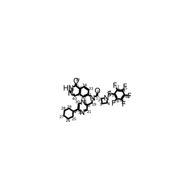 O=C([C@H]1CCN1Sc1c(F)c(F)c(F)c(F)c1F)N(Cc1cnc(C2CCCCC2)cn1)c1ccc2c(=O)[nH]ncc2c1